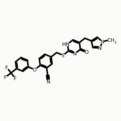 Cn1cc(Cc2c[nH]c(SCc3ccc(Oc4cccc(C(F)(F)F)c4)c(C#N)c3)nc2=O)cn1